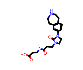 O=C(O)CCNC(=O)CCN1CCN(c2ccc3c(c2)CCNCC3)C1=O